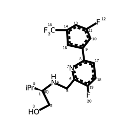 CC(C)[C@H](CO)NCc1nc(-c2cc(F)cc(C(F)(F)F)c2)ccc1F